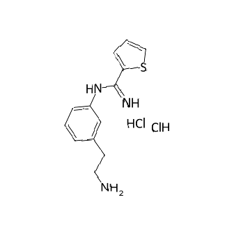 Cl.Cl.N=C(Nc1cccc(CCN)c1)c1cccs1